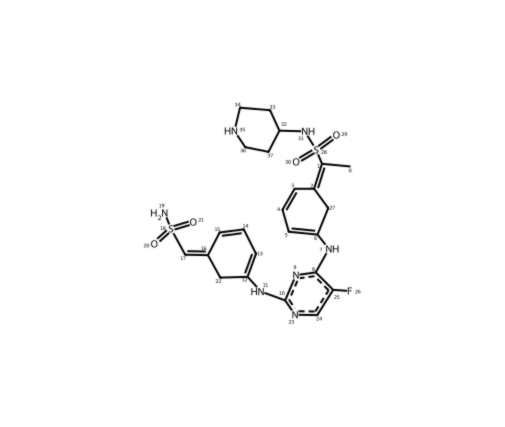 CC(=C1C=CC=C(Nc2nc(NC3=CC=CC(=CS(N)(=O)=O)C3)ncc2F)C1)S(=O)(=O)NC1CCNCC1